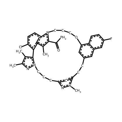 Cc1nn2c(c1C)-c1c(Cl)ccc3c1c(C)c(C(=O)P)n3CCCOc1cc(cc3cc(F)ccc13)CCc1cc(nn1C)CCC2